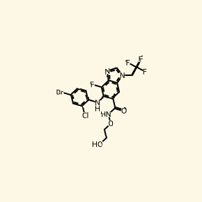 O=C(NOCCO)c1cc2c(ncn2CC(F)(F)F)c(F)c1Nc1ccc(Br)cc1Cl